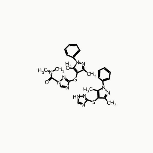 Cc1nn(-c2ccccc2)c(C)c1Sc1nc[nH]n1.Cc1nn(-c2ccccc2)c(C)c1Sc1ncn(C(=O)N(C)C)n1